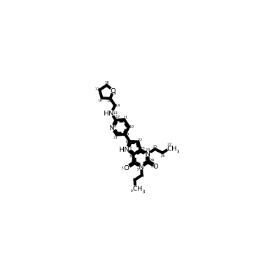 CCCn1c(=O)c2[nH]c(-c3ccc(NCC4CCCO4)nc3)cc2n(CCC)c1=O